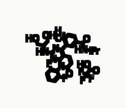 Cc1ccc(C(=O)NC(C)C)cc1-c1nc(NC(CO)CO)nc2c1ccc(=O)n2-c1c(F)cccc1F.O=C(O)C(F)(F)F